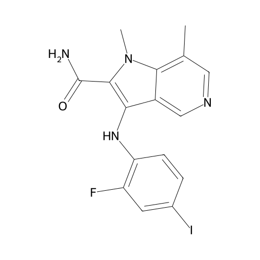 Cc1cncc2c(Nc3ccc(I)cc3F)c(C(N)=O)n(C)c12